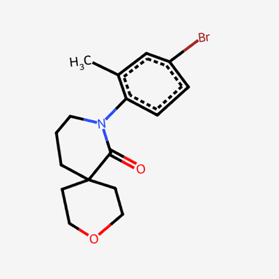 Cc1cc(Br)ccc1N1CCCC2(CCOCC2)C1=O